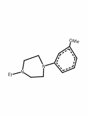 [CH2]CN1CCN(c2cccc(OC)c2)CC1